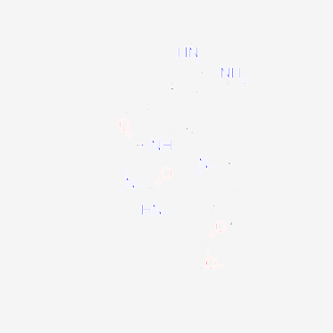 CCOC(=O)CC(NC(=O)N1CCCC1C(=O)Nc1ccc(C(=N)N)cc1)c1cccnc1